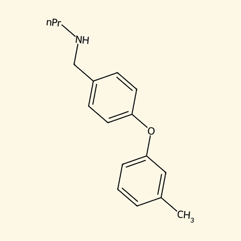 CCCNCc1ccc(Oc2cccc(C)c2)cc1